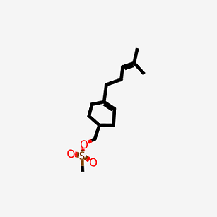 CC(C)=CCCC1=CCC(COS(C)(=O)=O)CC1